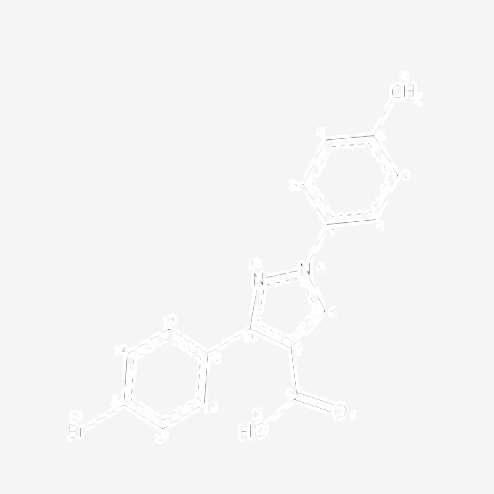 Cc1ccc(-n2cc(C(=O)O)c(-c3ccc(Br)cc3)n2)cc1